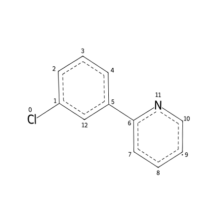 Clc1cccc(-c2cc[c]cn2)c1